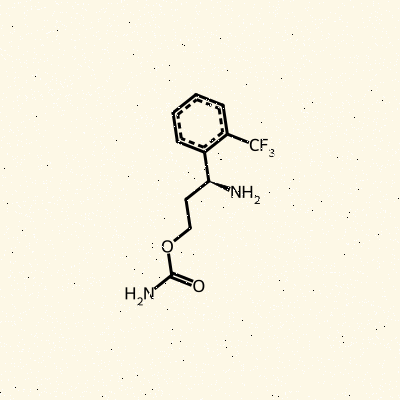 NC(=O)OCC[C@H](N)c1ccccc1C(F)(F)F